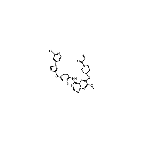 C=CC(=O)N1CCC(Oc2cc3c(Nc4ccc(Oc5ccn(-c6ccnc(Cl)c6)n5)cc4F)ncnc3cc2OC)CC1